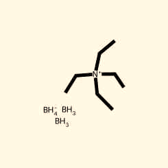 B.B.CC[N+](CC)(CC)CC.[BH4-]